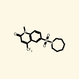 Cn1c(=O)cc(C(F)(F)F)c2cc(S(=O)(=O)N3CCCCCC3)ccc21